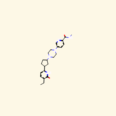 CCc1ccc(C2CCC(N3CCN(c4ccc(C(=O)NC)nc4)CC3)C2)[nH]c1=O